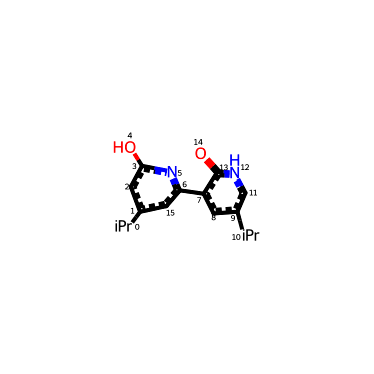 CC(C)c1cc(O)nc(-c2cc(C(C)C)c[nH]c2=O)c1